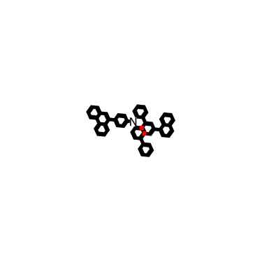 c1ccc(-c2ccc(N(c3ccc(-c4cc5ccccc5c5ccccc45)cc3)c3ccccc3-c3cccc(-c4cccc5ccccc45)c3)cc2)cc1